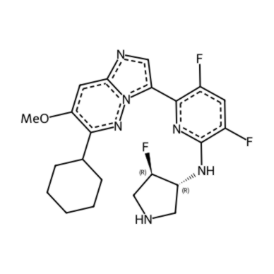 COc1cc2ncc(-c3nc(N[C@@H]4CNC[C@H]4F)c(F)cc3F)n2nc1C1CCCCC1